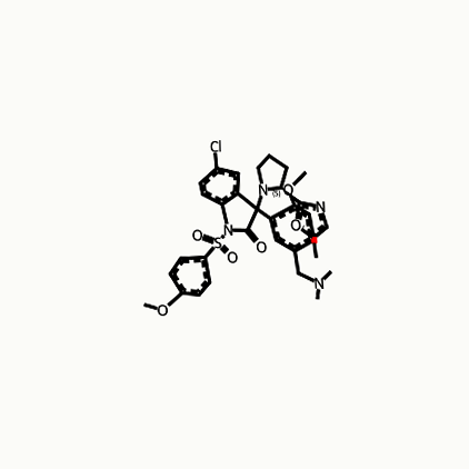 COc1ccc(S(=O)(=O)N2C(=O)C(c3cc(CN(C)C)ccc3OC)(N3CCC[C@H]3c3ncc(C)o3)c3cc(Cl)ccc32)cc1